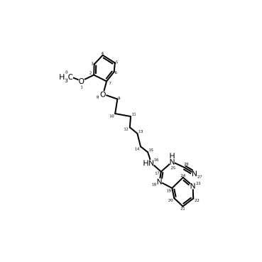 COc1ccccc1OCCCCCCCN/C(=N/c1cccnc1)NC#N